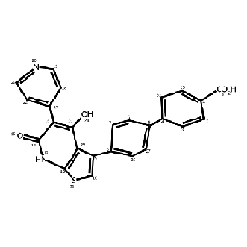 O=C(O)c1ccc(-c2ccc(-c3csc4[nH]c(=O)c(-c5ccncc5)c(O)c34)cc2)cc1